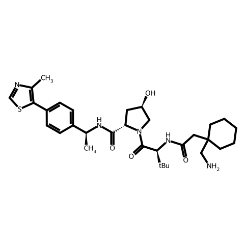 Cc1ncsc1-c1ccc([C@H](C)NC(=O)[C@@H]2C[C@@H](O)CN2C(=O)[C@@H](NC(=O)CC2(CN)CCCCC2)C(C)(C)C)cc1